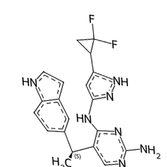 C[C@@H](c1ccc2[nH]ccc2c1)c1cnc(N)nc1Nc1cc(C2CC2(F)F)[nH]n1